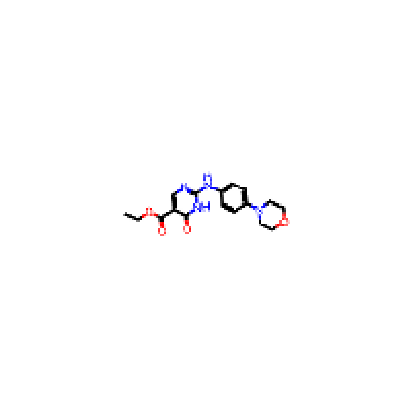 CCOC(=O)c1cnc(Nc2ccc(N3CCOCC3)cc2)[nH]c1=O